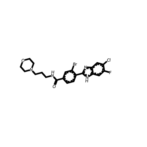 O=C(NCCCN1CCOCC1)c1ccc(-c2nc3cc(Cl)c(F)cc3[nH]2)c(Br)c1